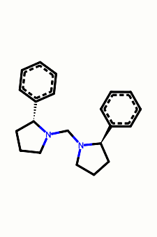 c1ccc([C@H]2CCCN2CN2CCC[C@@H]2c2ccccc2)cc1